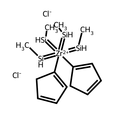 C[SiH]=[Zr+2](=[SiH]C)(=[SiH]C)(=[SiH]C)([C]1=CC=CC1)[C]1=CC=CC1.[Cl-].[Cl-]